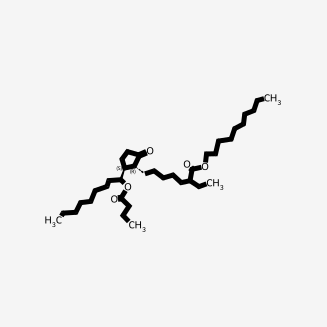 CCCCCCCCCCOC(=O)C(CC)CCCCC[C@H]1C(=O)CC[C@@H]1C(CCCCCCCC)OC(=O)CCC